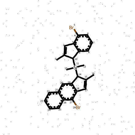 CC1=Cc2c(Br)cccc2C1[Si](C)(C)C1C(C)=Cc2c1cc1ccccc1c2Br